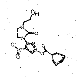 O=C(On1cc([N+](=O)[O-])c(N2CCN(CCO)C2=O)n1)c1ccccc1